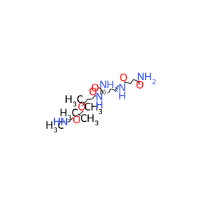 CNCCOC(C)(C)COC(C)(C)CCC(=O)N[C@@H](CCCCNC(=O)CCC(N)=O)C(N)=O